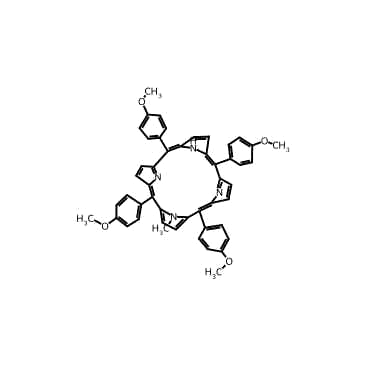 COc1ccc(-c2c3nc(c(-c4ccc(OC)cc4)c4ccc(c(-c5ccc(OC)cc5)c5nc(c(-c6ccc(OC)cc6)c6ccc2[nH]6)C=C5)n4C)C=C3)cc1